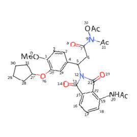 COc1ccc(C(CC(=O)N(OC(C)=O)C(C)=O)N2C(=O)c3cccc(NC(C)=O)c3C2=O)cc1OC1CCCC1